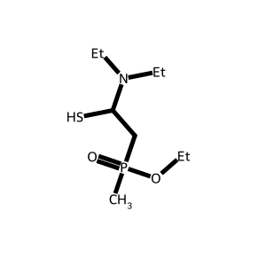 CCOP(C)(=O)CC(S)N(CC)CC